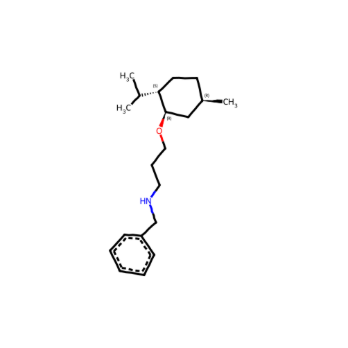 CC(C)[C@@H]1CC[C@@H](C)C[C@H]1OCCCNCc1ccccc1